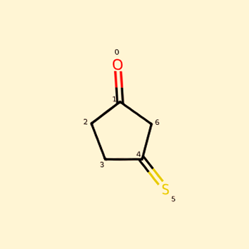 O=C1CCC(=S)C1